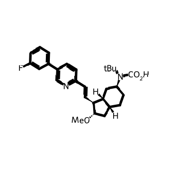 CO[C@H]1C[C@H]2CC[C@H](N(C(=O)O)C(C)(C)C)C[C@H]2[C@@H]1C=Cc1ccc(-c2cccc(F)c2)cn1